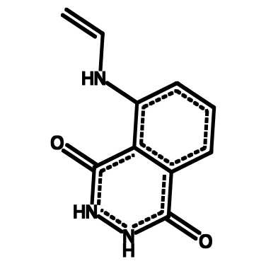 C=CNc1cccc2c(=O)[nH][nH]c(=O)c12